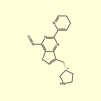 O=Nc1nc(C2=CCCC=N2)nc2c(C[C@@H]3CCNC3)csc12